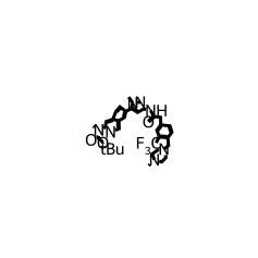 CN1CCN(Cc2ccc(CC(=O)Nc3cc(-c4ccc5cc(N(C)C(=O)OC(C)(C)C)ncc5c4)n(C)n3)cc2C(F)(F)F)CC1